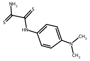 CN(C)c1ccc(NC(=S)C(N)=S)cc1